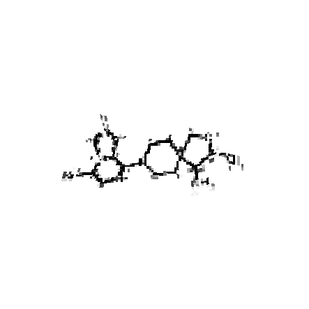 C[C@@H]1OCC2(CCN(c3ncc(Br)n4cncc34)CC2)[C@@H]1N